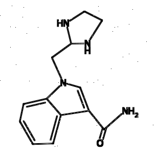 NC(=O)c1cn(CC2NCCN2)c2ccccc12